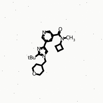 CN(C(=O)c1cncc(-c2cn(CC3CCOCC3)c(C(C)(C)C)n2)c1)C1CCC1